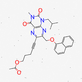 CC(=O)OCCCC#Cc1nc2c(=O)n(C)c(=O)n(CC(C)C)c2nc1COc1cccc2ccccc12